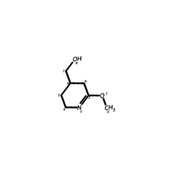 COC1=NCCC(CO)C1